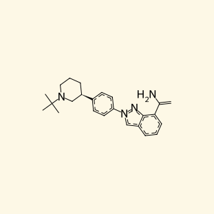 C=C(N)c1cccc2cn(-c3ccc([C@@H]4CCCN(C(C)(C)C)C4)cc3)nc12